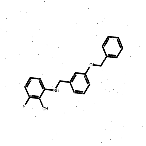 Oc1c(F)cccc1NCc1cccc(OCc2ccccc2)c1